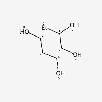 CCC(O)CO.OCCCO